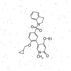 CCOc1cc(=O)n(C)cc1-c1cc(S(=O)(=O)N2CCc3ccccc32)ccc1OCC1CC1